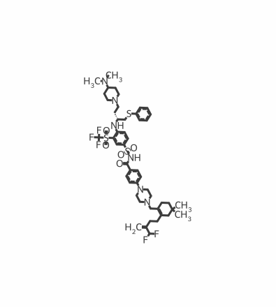 C=C(CCC1=C(CN2CCN(c3ccc(C(=O)NS(=O)(=O)c4ccc(N[C@H](CCN5CCC(N(C)C)CC5)CSc5ccccc5)c(S(=O)(=O)C(F)(F)F)c4)cc3)CC2)CCC(C)(C)C1)C(F)F